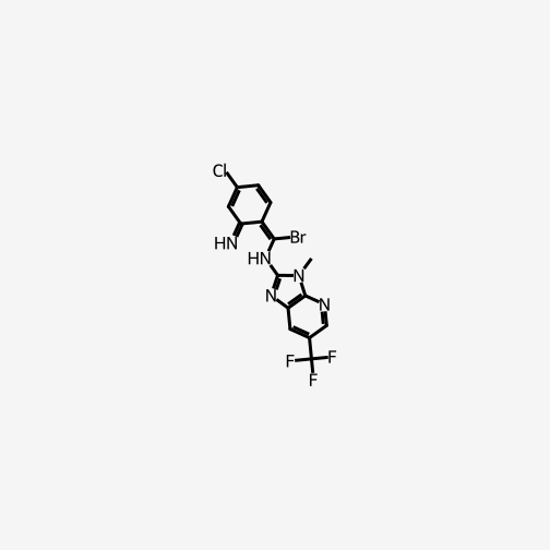 Cn1c(N/C(Br)=C2/C=CC(Cl)=CC2=N)nc2cc(C(F)(F)F)cnc21